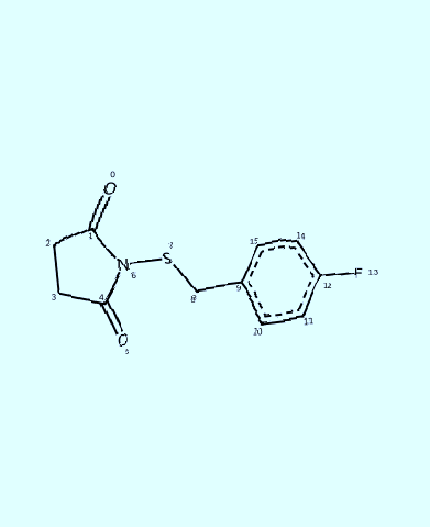 O=C1CCC(=O)N1SCc1ccc(F)cc1